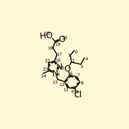 CCC(CC)Oc1ccc(Cl)cc1Cn1nc(CCC(=O)O)cc1C